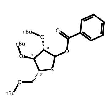 CCCCOC[C@H]1SC(OC(=O)c2ccccc2)[C@@H](OCCCC)[C@@H]1OCCCC